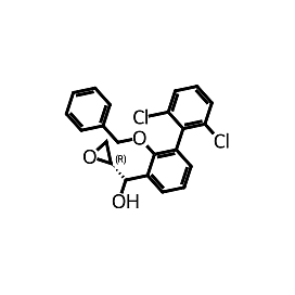 OC(c1cccc(-c2c(Cl)cccc2Cl)c1OCc1ccccc1)[C@H]1CO1